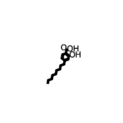 CCCCCCCCCc1ccc(C(=O)O)c(O)c1